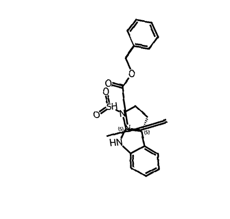 C=C1CN(C(=O)OCc2ccccc2)C[C@]23Nc4ccccc4[C@]12CCN3[SH](=O)=O